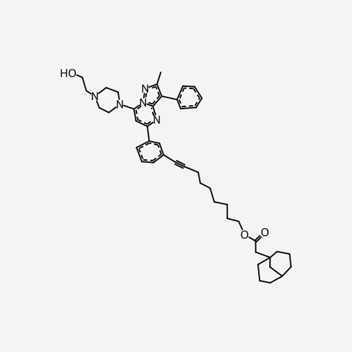 Cc1nn2c(N3CCN(CCO)CC3)cc(-c3cccc(C#CCCCCCCCOC(=O)CC45CCCC(CCC4)C5)c3)nc2c1-c1ccccc1